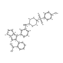 O=[N+]([O-])c1ccccc1-c1nc2sccn2c1-c1ccnc(NC2CCN(S(=O)(=O)c3ccc(Cl)cc3)CC2)n1